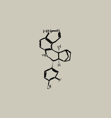 N#Cc1ccc([C@@H]2Nc3ccc4[nH]ncc4c3[C@H]3C4CCC(C4)[C@@H]23)cc1F